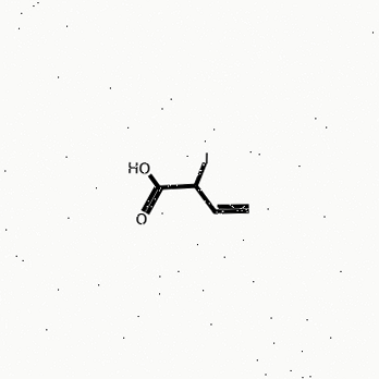 C=CC(I)C(=O)O